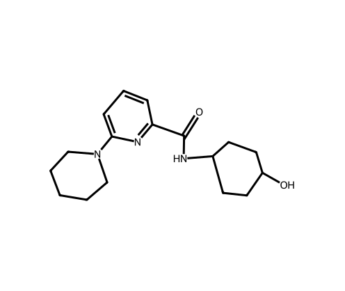 O=C(NC1CCC(O)CC1)c1cccc(N2CCCCC2)n1